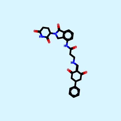 O=C1CCC(N2Cc3c(NC(=O)CCNC=C4C(=O)CC(c5ccccc5)CC4=O)cccc3C2=O)C(=O)N1